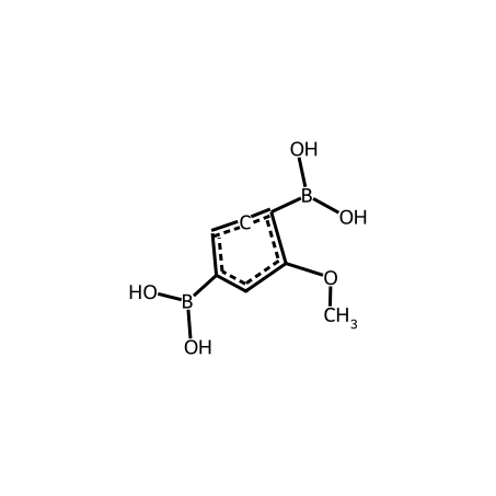 COc1cc(B(O)O)ccc1B(O)O